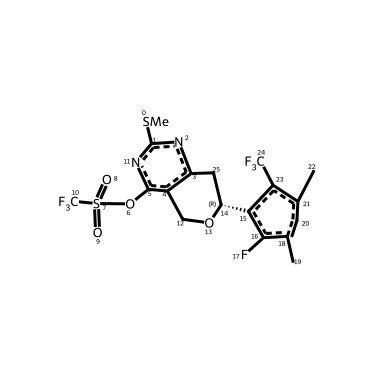 CSc1nc2c(c(OS(=O)(=O)C(F)(F)F)n1)CO[C@@H](c1c(F)c(C)cc(C)c1C(F)(F)F)C2